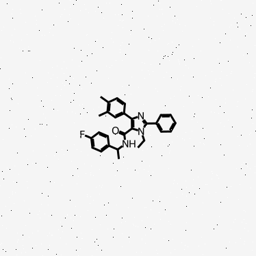 CCn1c(-c2ccccc2)nc(-c2ccc(C)c(C)c2)c1C(=O)NC(C)c1ccc(F)cc1